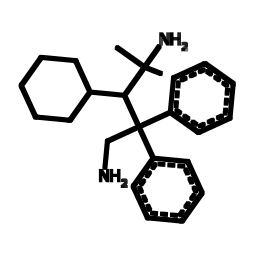 CC(C)(N)C(C1CCCCC1)C(CN)(c1ccccc1)c1ccccc1